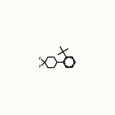 CC(C)(C)c1ccccc1C1CCC(F)(F)CC1